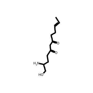 CC=CCCC(=O)CC(=O)CCC(N)CO